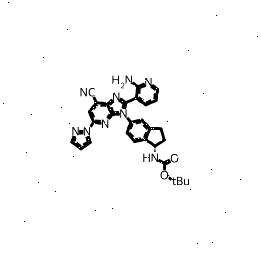 CC(C)(C)OC(=O)N[C@H]1CCc2cc(-n3c(-c4cccnc4N)nc4c(C#N)cc(-n5cccn5)nc43)ccc21